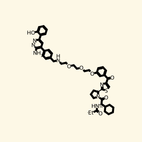 C[CH]C(=O)N[C@H](C(=O)N1CCC[C@H]1c1nc(C(=O)c2cccc(OCCOCCOCCNCc3ccc(-c4cc(-c5ccccc5O)nnc4N)cc3)c2)cs1)C1CCCCC1